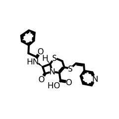 O=C(Cc1ccccc1)N[C@@H]1C(=O)N2C(C(=O)O)=C(S/C=C\c3cccnc3)CS[C@H]12